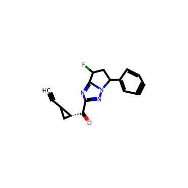 C#CC1C[C@H]1C(=O)c1nc2n(n1)C(c1cc#ccc1)CC2F